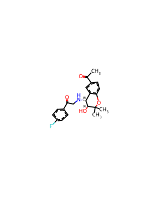 CC(=O)c1ccc2c(c1)[C@@H](NCC(=O)c1ccc(F)cc1)[C@H](O)C(C)(C)O2